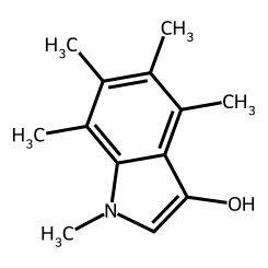 Cc1c(C)c(C)c2c(c(O)cn2C)c1C